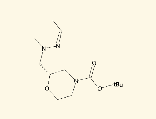 C/C=N\N(C)C[C@@H]1CN(C(=O)OC(C)(C)C)CCO1